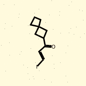 O=C(C=CI)C1CC2(CCC2)C1